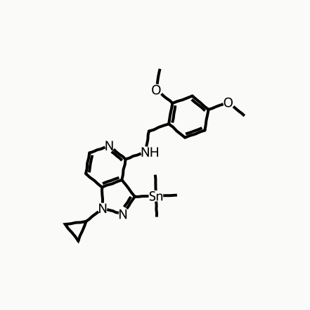 COc1ccc(CNc2nccc3c2[c]([Sn]([CH3])([CH3])[CH3])nn3C2CC2)c(OC)c1